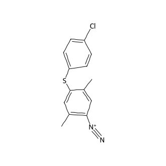 Cc1cc(Sc2ccc(Cl)cc2)c(C)cc1[N+]#N